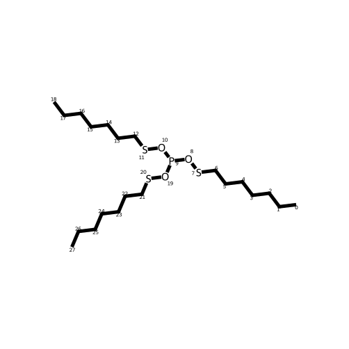 CCCCCCCSOP(OSCCCCCCC)OSCCCCCCC